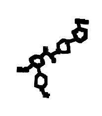 COc1cccc(N2CCN(C(=O)Nc3ccc(OC)c(C4CCN(C(C)C)CC4)c3)CC2)c1